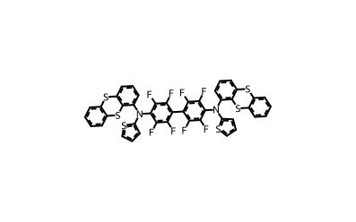 Fc1c(F)c(N(c2cccs2)c2cccc3c2Sc2ccccc2S3)c(F)c(F)c1-c1c(F)c(F)c(N(c2cccs2)c2cccc3c2Sc2ccccc2S3)c(F)c1F